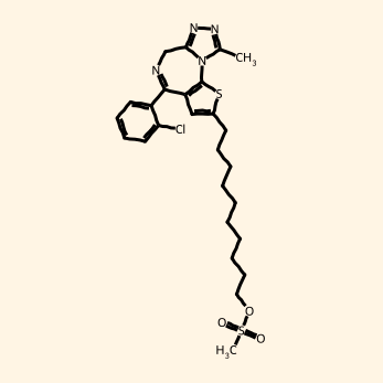 Cc1nnc2n1-c1sc(CCCCCCCCCCOS(C)(=O)=O)cc1C(c1ccccc1Cl)=NC2